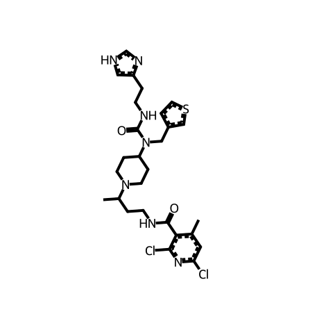 Cc1cc(Cl)nc(Cl)c1C(=O)NCCC(C)N1CCC(N(Cc2ccsc2)C(=O)NCCc2c[nH]cn2)CC1